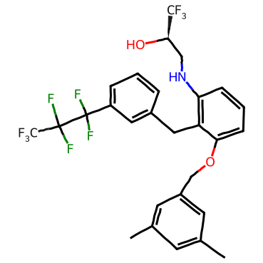 Cc1cc(C)cc(COc2cccc(NC[C@@H](O)C(F)(F)F)c2Cc2cccc(C(F)(F)C(F)(F)C(F)(F)F)c2)c1